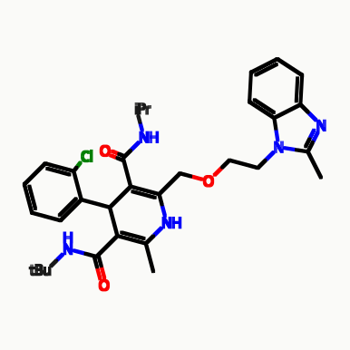 CC1=C(C(=O)NC(C)(C)C)C(c2ccccc2Cl)C(C(=O)NC(C)C)=C(COCCn2c(C)nc3ccccc32)N1